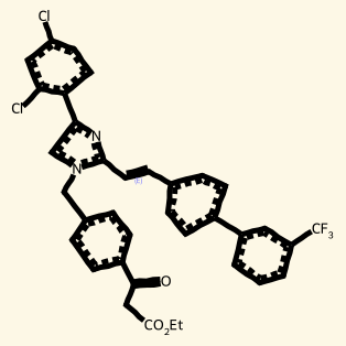 CCOC(=O)CC(=O)c1ccc(Cn2cc(-c3ccc(Cl)cc3Cl)nc2/C=C/c2ccc(-c3cccc(C(F)(F)F)c3)cc2)cc1